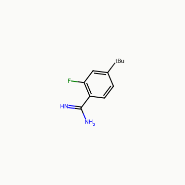 CC(C)(C)c1ccc(C(=N)N)c(F)c1